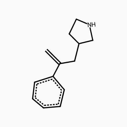 C=C(CC1CCNC1)c1ccccc1